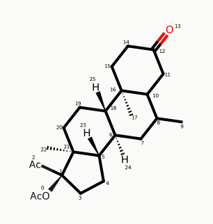 CC(=O)O[C@]1(C(C)=O)CC[C@H]2[C@@H]3CC(C)C4CC(=O)CC[C@]4(C)[C@H]3CC[C@@]21C